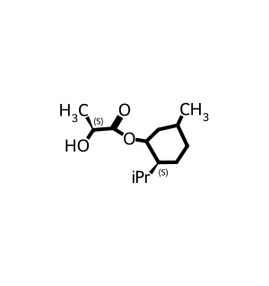 CC1CC[C@@H](C(C)C)C(OC(=O)[C@H](C)O)C1